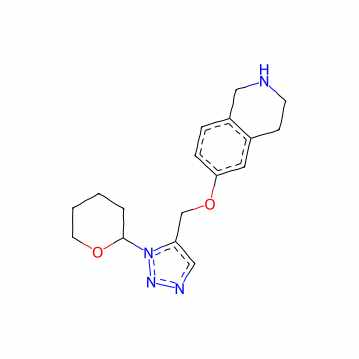 c1cc2c(cc1OCc1cnnn1C1CCCCO1)CCNC2